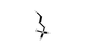 O=S(=O)(Cl)CC=CF